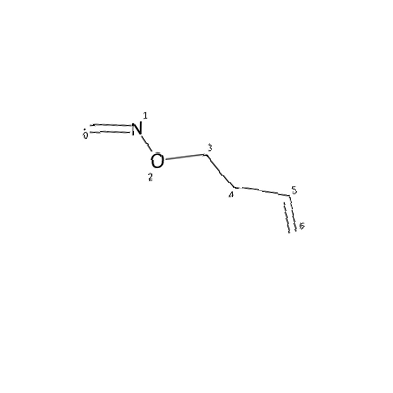 [CH]=NOCCC=C